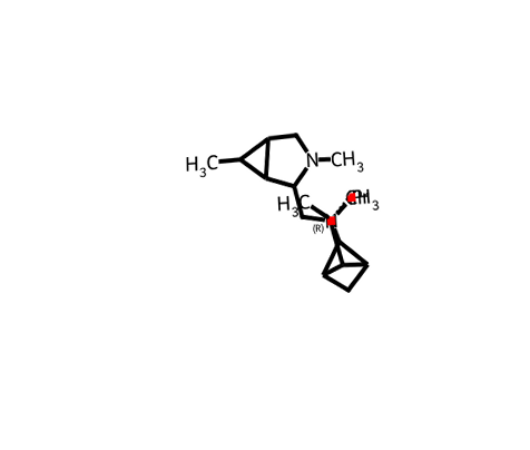 CC1C2CN(C)C(CN(C)C3C4CC3C4[C@H](C)C(C)C)C12